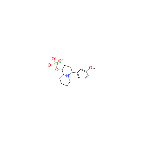 COc1cccc(C2CCC(O[Cl+3]([O-])([O-])[O-])C3CCCCN23)c1